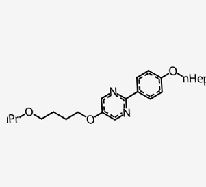 CCCCCCCOc1ccc(-c2ncc(OCCCCOCCC)cn2)cc1